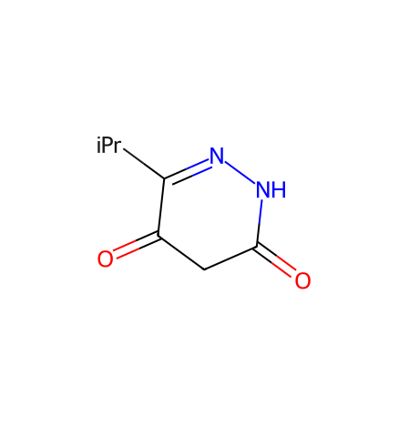 CC(C)C1=NNC(=O)CC1=O